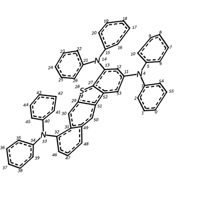 c1ccc(N(c2ccccc2)c2cc(N(c3ccccc3)c3ccccc3)c3sc4cc5c(N(c6ccccc6)c6ccccc6)cccc5cc4c3c2)cc1